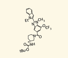 CCn1c(-c2nc3cc(C(=O)N4CCC[C@@H](NC(=O)OC(C)(C)C)C4)cc(OC(F)(F)F)c3n2C)cc2ccccc21